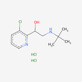 CC(C)(C)NCC(O)c1ncccc1Cl.Cl.Cl